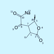 CC1C(=O)O[C@H](C)C1C(=O)[C](=O)[Na]